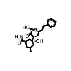 CC1CC(C(N)=O)C[C@](O)([C@H](C[C@@H](O)[CH]Cc2ccccc2)C(=O)NO)C1